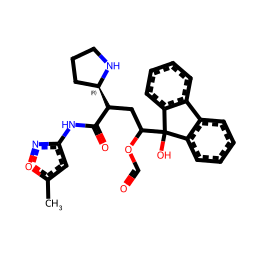 Cc1cc(NC(=O)C(CC(OC=O)C2(O)c3ccccc3-c3ccccc32)[C@H]2CCCN2)no1